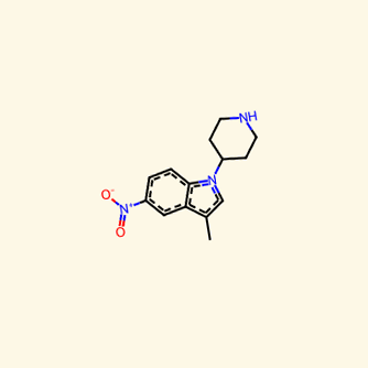 Cc1cn(C2CCNCC2)c2ccc([N+](=O)[O-])cc12